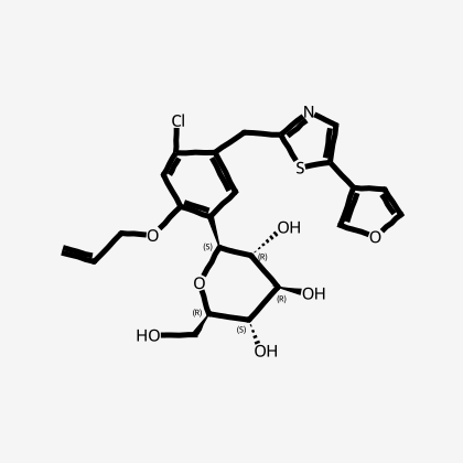 C=CCOc1cc(Cl)c(Cc2ncc(-c3ccoc3)s2)cc1[C@@H]1O[C@H](CO)[C@@H](O)[C@H](O)[C@H]1O